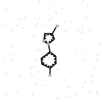 CCc1cnn(-c2ccc(Cl)cc2)c1